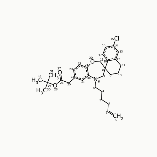 C=CCCCCN1CC2(CCCc3cc(Cl)ccc32)COc2ccc(CC(=O)OC(C)(C)C)cc21